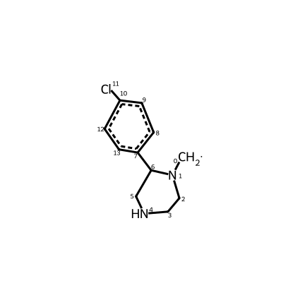 [CH2]N1CCNCC1c1ccc(Cl)cc1